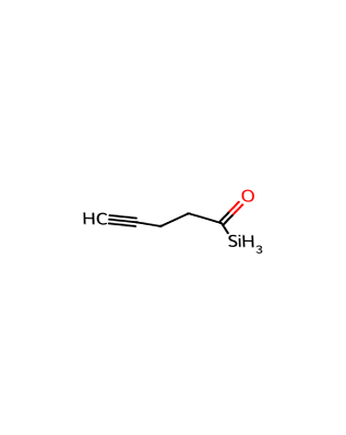 C#CCCC(=O)[SiH3]